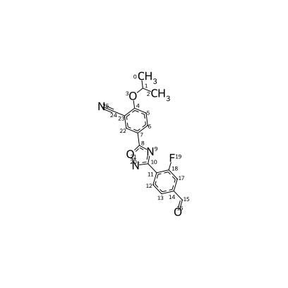 CC(C)Oc1ccc(-c2nc(-c3ccc(C=O)cc3F)no2)cc1C#N